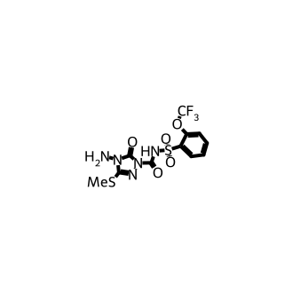 CSc1nn(C(=O)NS(=O)(=O)c2ccccc2OC(F)(F)F)c(=O)n1N